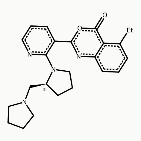 CCc1cccc2nc(-c3cccnc3N3CCC[C@H]3CN3CCCC3)oc(=O)c12